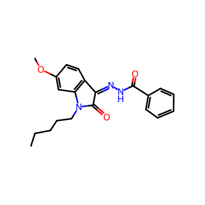 CCCCCN1C(=O)/C(=N\NC(=O)c2ccccc2)c2ccc(OC)cc21